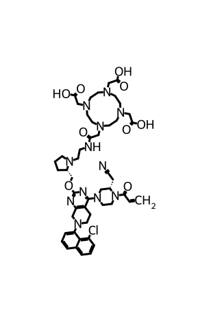 C=CC(=O)N1CCN(c2nc(OC[C@@H]3CCCN3CCNC(=O)CN3CCN(CC(=O)O)CCN(CC(=O)O)CCN(CC(=O)O)CC3)nc3c2CCN(c2cccc4cccc(Cl)c24)C3)C[C@@H]1CC#N